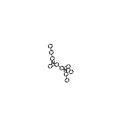 c1ccc(-c2ccc(-c3ccc(-n4c5ccccc5c5cc(-c6ccc7c(c6)c6cccc(-c8ccccc8)c6n7-c6ccc(-c7ccccc7)cc6)ccc54)cc3)cc2)cc1